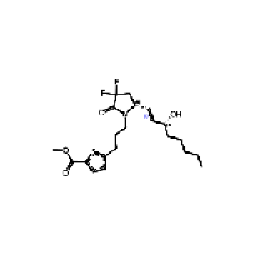 CCCCC[C@@H](O)/C=C/[C@H]1CC(F)(F)C(=O)N1CCCc1ccc(C(=O)OC)s1